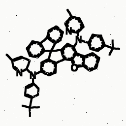 CC1=CCC(N(C2=CC=C(C(C)(C)C)CC2)c2ccc3c(c2)C2(c4ccccc4-c4ccccc42)c2cc(N(c4ccc(C(C)(C)C)cc4)c4ccc(C)cn4)c4c(oc5ccccc54)c2-3)N=C1